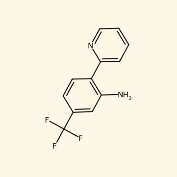 Nc1cc(C(F)(F)F)ccc1-c1ccccn1